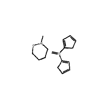 [CH2]=[Ti]([C]1=CC=CC1)[C]1=CC=CC1.[CH3][Al]1[CH2]CCC[O]1